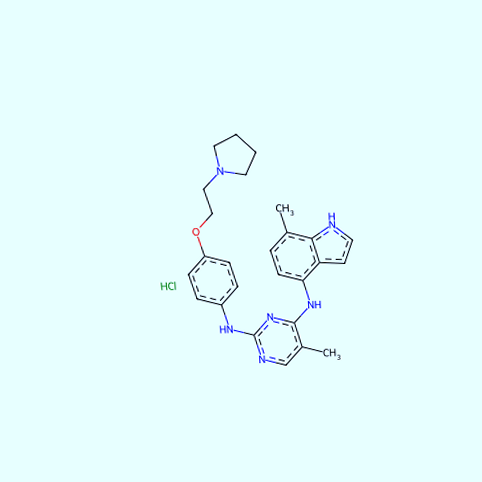 Cc1cnc(Nc2ccc(OCCN3CCCC3)cc2)nc1Nc1ccc(C)c2[nH]ccc12.Cl